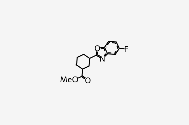 COC(=O)C1CCCC(c2nc3cc(F)ccc3o2)C1